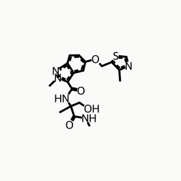 CNC(=O)C(C)(CO)NC(=O)c1c2cc(OCc3scnc3C)ccc2nn1C